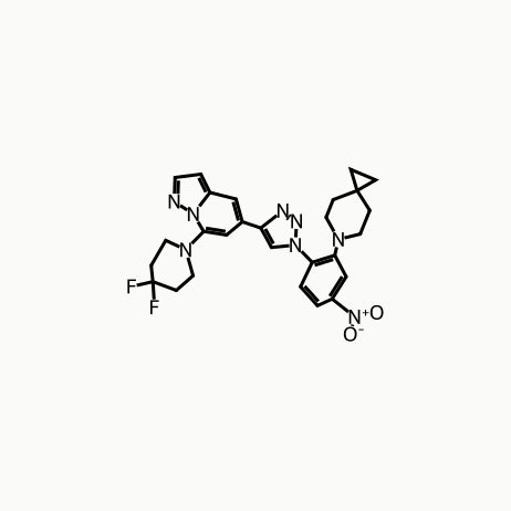 O=[N+]([O-])c1ccc(-n2cc(-c3cc(N4CCC(F)(F)CC4)n4nccc4c3)nn2)c(N2CCC3(CC2)CC3)c1